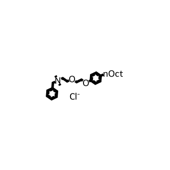 CCCCCCCCc1ccc(OCCOCC[N+](C)(C)Cc2ccccc2)cc1.[Cl-]